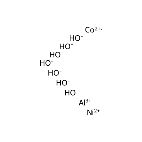 [Al+3].[Co+2].[Ni+2].[OH-].[OH-].[OH-].[OH-].[OH-].[OH-].[OH-]